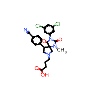 CN1C(=O)N(c2cc(Cl)cc(Cl)c2)C(=O)C12CN(CCCC(=O)O)CC2c1ccc(C#N)cc1